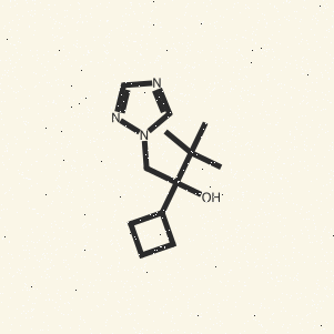 CC(C)(C)C(O)(Cn1cncn1)C1CCC1